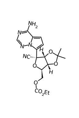 CCOC(=O)OC[C@H]1O[C@@](C#N)(c2ccc3c(N)ncnn23)[C@@H]2OC(C)(C)O[C@@H]21